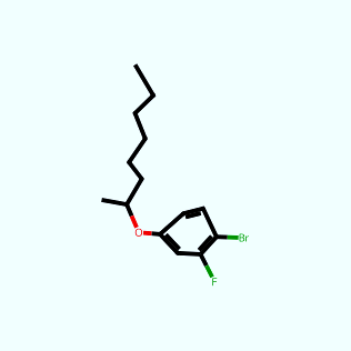 CCCCCCC(C)Oc1ccc(Br)c(F)c1